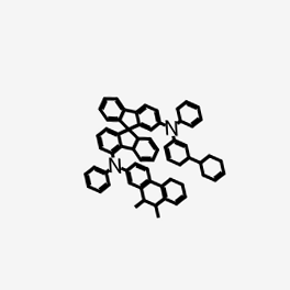 CC1C2=C(CCC=C2)c2ccc(N(c3ccccc3)c3cccc4c3C3C=CC=CC3C43c4ccccc4-c4ccc(N(C5=CC(C6CC=CCC6)CC=C5)C5C=CC=CC5)cc43)cc2C1C